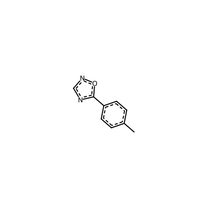 Cc1ccc(-c2ncno2)cc1